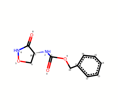 O=C(N[C@@H]1CONC1=O)OCc1ccccc1